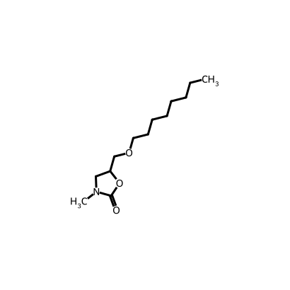 CCCCCCCCOCC1CN(C)C(=O)O1